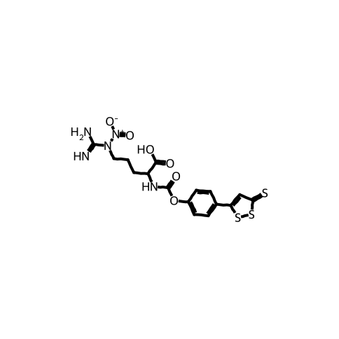 N=C(N)N(CCCC(NC(=O)Oc1ccc(-c2cc(=S)ss2)cc1)C(=O)O)[N+](=O)[O-]